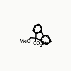 CCOC(=O)C1(COC)c2ccccc2-c2ccccc21